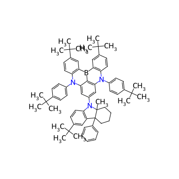 CC(C)(C)c1ccc(N2c3ccc(C(C)(C)C)cc3B3c4cc(C(C)(C)C)ccc4N(c4ccc(C(C)(C)C)cc4)c4cc(N5c6ccc(C(C)(C)C)cc6C6(c7ccccc7)CCCCC56C)cc2c43)cc1